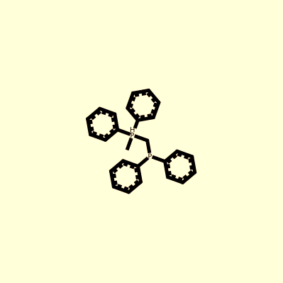 C[PH](CP(c1ccccc1)c1ccccc1)(c1ccccc1)c1ccccc1